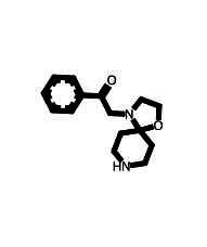 O=C(CN1CCOC12CCNCC2)c1ccccc1